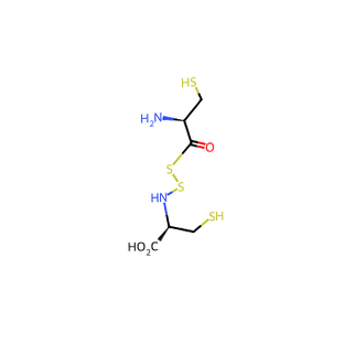 N[C@@H](CS)C(=O)SSN[C@@H](CS)C(=O)O